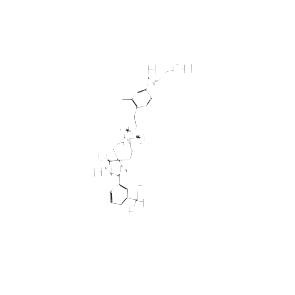 Cc1cc(NCCO)ccc1CCS(=O)(=O)N1CCC2(CC1)N=C(c1cccc(C(F)(F)F)c1)NC2=O